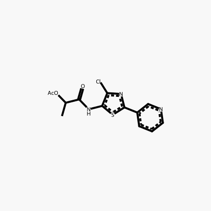 CC(=O)OC(C)C(=O)Nc1sc(-c2cccnc2)nc1Cl